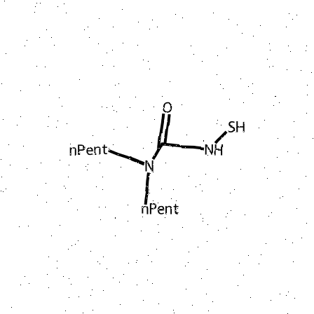 CCCCCN(CCCCC)C(=O)NS